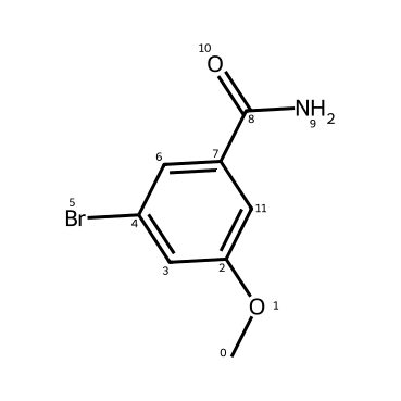 COc1cc(Br)cc(C(N)=O)c1